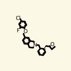 Fc1cc(Cl)ccc1OCc1ccc2c(c1)CN(CC1C=CC=C[C@@H]1CC1CCO1)CC2